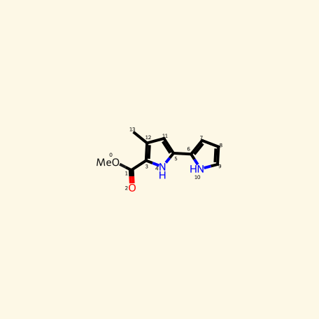 COC(=O)c1[nH]c(-c2ccc[nH]2)cc1C